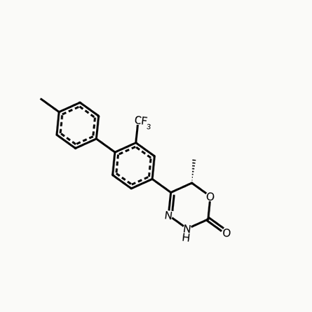 Cc1ccc(-c2ccc(C3=NNC(=O)O[C@H]3C)cc2C(F)(F)F)cc1